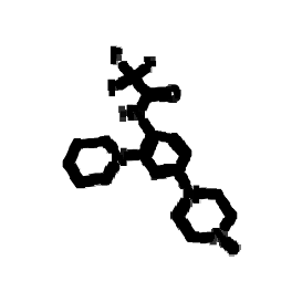 CN1CCN(c2ccc(NC(=O)C(F)(F)F)c(N3CCCCC3)c2)CC1